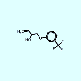 C=CC(O)COc1cccc(C(F)(F)F)c1